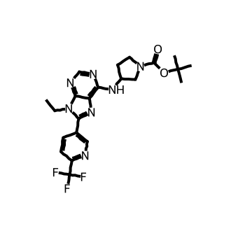 CCn1c(-c2ccc(C(F)(F)F)nc2)nc2c(NC3CCN(C(=O)OC(C)(C)C)C3)ncnc21